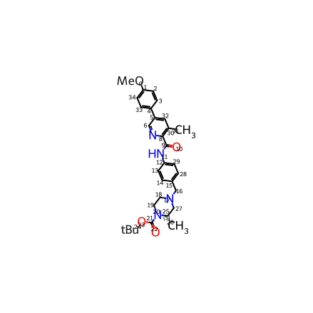 COc1ccc(-c2cnc(C(=O)Nc3ccc(CN4CCN(C(=O)OC(C)(C)C)[C@@H](C)C4)cc3)c(C)c2)cc1